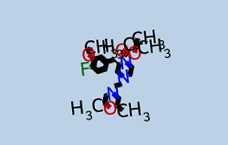 COc1cc(C[C@@H]2CN(CCN3CC(C)OC(C)C3)CCN2C(=O)OC(C)(C)C)ccc1F